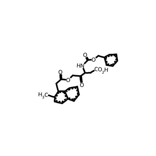 Cc1ccc2ccccc2c1CC(=O)OCC(=O)C(CC(=O)O)NC(=O)OCc1ccccc1